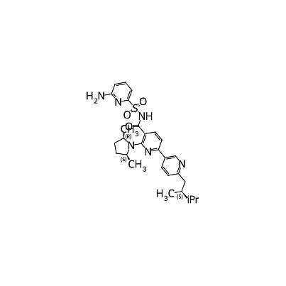 CC(C)[C@@H](C)Cc1ccc(-c2ccc(C(=O)NS(=O)(=O)c3cccc(N)n3)c(N3[C@H](C)CC[C@@H]3C)n2)cn1